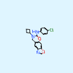 O=C(Nc1ccc(Cl)cc1)N(Cc1ccc2ocnc2c1)C1CCC1